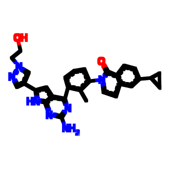 Cc1c(-c2nc(N)nc3[nH]c(-c4cnn(CCO)c4)cc23)cccc1-n1ccc2cc(C3CC3)ccc2c1=O